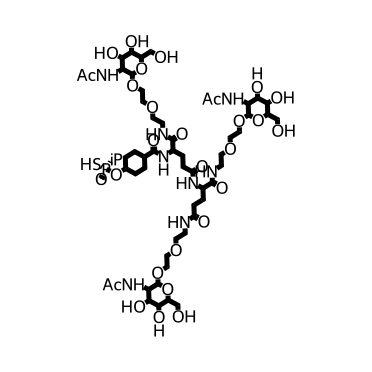 CC(=O)NC1C(OCCOCCNC(=O)CCC(NC(=O)CCC(NC(=O)C2CCC(OP(=O)(S)C(C)C)CC2)C(=O)NCCOCCOC2OC(CO)C(O)C(O)C2NC(C)=O)C(=O)NCCOCCOC2OC(CO)C(O)C(O)C2NC(C)=O)OC(CO)C(O)C1O